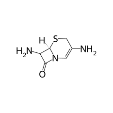 NC1=CN2C(=O)C(N)[C@H]2SC1